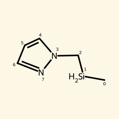 C[SiH2]Cn1cccn1